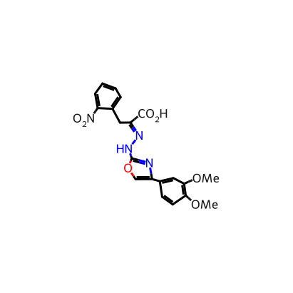 COc1ccc(-c2coc(N/N=C(\Cc3ccccc3[N+](=O)[O-])C(=O)O)n2)cc1OC